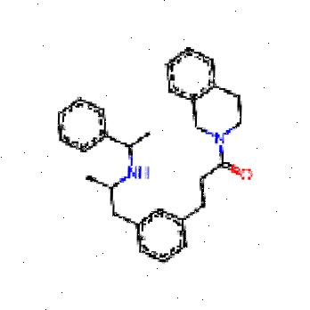 CC(N[C@H](C)Cc1cccc(CCC(=O)N2CCc3ccccc3C2)c1)c1ccccc1